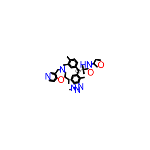 CCC1CN(Cc2cc([C@@H](c3ccc4c(nnn4C)c3C)C(C)(C)C(=O)NC3CCOC3)ccc2C)Cc2cnccc2O1